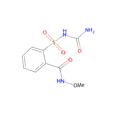 CONC(=O)c1ccccc1S(=O)(=O)NC(N)=O